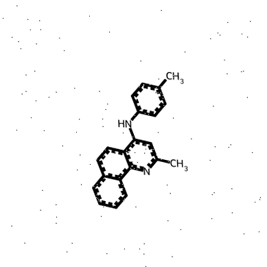 Cc1ccc(Nc2cc(C)nc3c2ccc2ccccc23)cc1